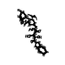 CC(C)[C@@H]1CC(CNC(=O)[C@H](O)[C@@H](O)C(=O)N2Cc3ccccc3C2)CC(C)N1c1ccc(F)cc1N